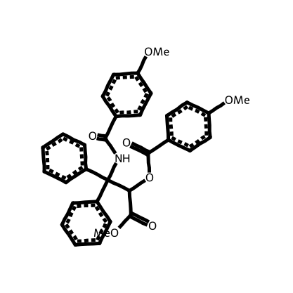 COC(=O)C(OC(=O)c1ccc(OC)cc1)C(NC(=O)c1ccc(OC)cc1)(c1ccccc1)c1ccccc1